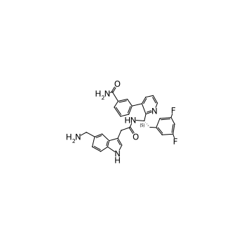 NCc1ccc2[nH]cc(CC(=O)N[C@@H](Cc3cc(F)cc(F)c3)c3ncccc3-c3cccc(C(N)=O)c3)c2c1